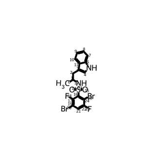 CC(Cc1c[nH]c2ccccc12)NS(=O)(=O)c1c(F)c(Br)cc(F)c1Br